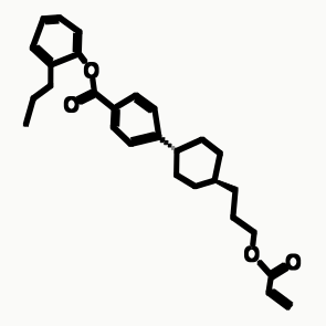 C=CC(=O)OCCC[C@H]1CC[C@H](c2ccc(C(=O)Oc3ccccc3CCC)cc2)CC1